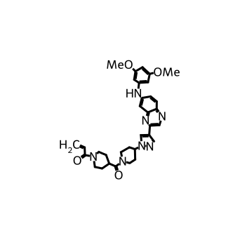 C=CC(=O)N1CCC(C(=O)N2CCC(n3cc(-c4cnc5ccc(Nc6cc(OC)cc(OC)c6)cc5n4)cn3)CC2)CC1